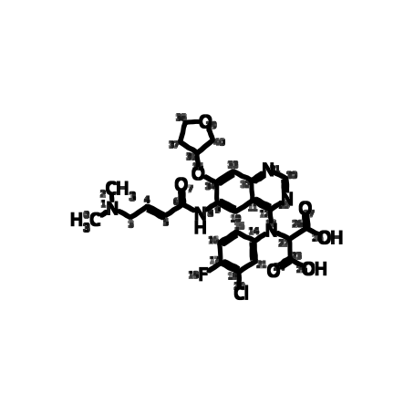 CN(C)CC=CC(=O)Nc1cc2c(N(c3ccc(F)c(Cl)c3)C(C(=O)O)C(=O)O)ncnc2cc1OC1CCOC1